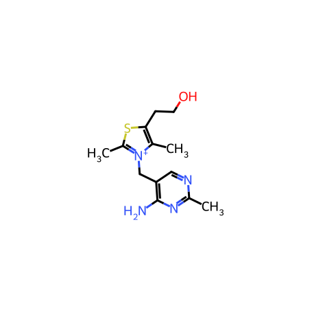 Cc1ncc(C[n+]2c(C)sc(CCO)c2C)c(N)n1